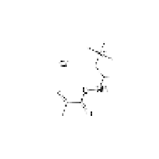 C=C(C)C(=O)ONC(C)C[N+](C)(C)C.[Cl-]